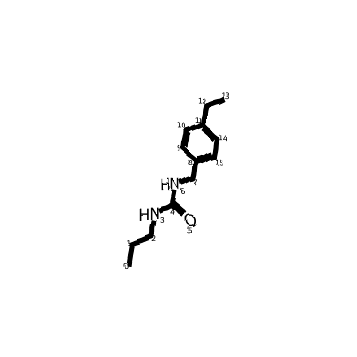 CCCNC(=O)NCc1ccc(CC)cc1